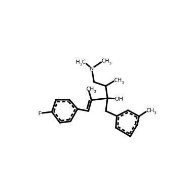 CC(=Cc1ccc(F)cc1)C(O)(Cc1cccc(C)c1)C(C)CN(C)C